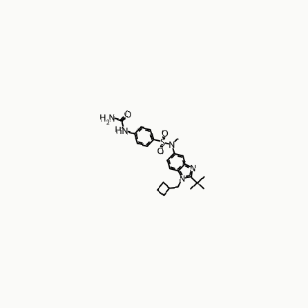 CN(c1ccc2c(c1)nc(C(C)(C)C)n2CC1CCC1)S(=O)(=O)c1ccc(NC(N)=O)cc1